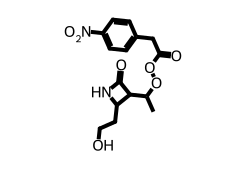 CC(OOC(=O)Cc1ccc([N+](=O)[O-])cc1)C1C(=O)NC1CCO